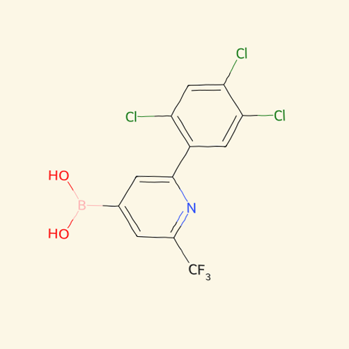 OB(O)c1cc(-c2cc(Cl)c(Cl)cc2Cl)nc(C(F)(F)F)c1